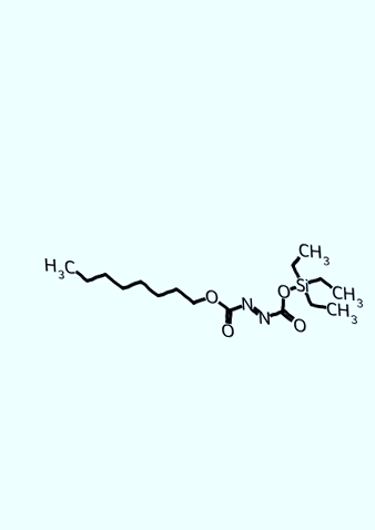 CCCCCCCCOC(=O)/N=N/C(=O)O[Si](CC)(CC)CC